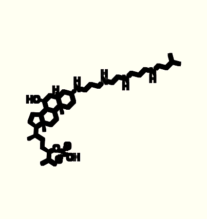 CC(C)CCNCCCNCCNCCCN[C@H]1CC[C@]2(C)C3CC[C@@]4(C)C(CC[C@@H]4[C@H](C)CC[C@@H](OS(=O)(=O)O)C(C)C)C3[C@H](O)C[C@H]2C1